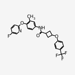 Cc1cc(NC(=O)C2CC(Oc3ccc(C(F)(F)F)cc3)C2)ccc1Oc1ccc(F)cn1